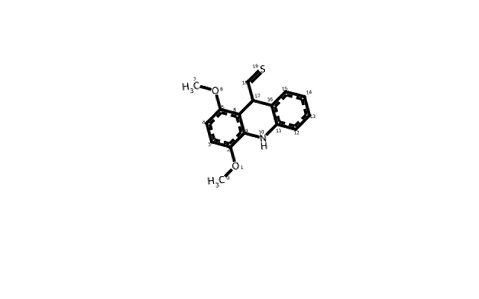 COc1ccc(OC)c2c1Nc1ccccc1C2C=S